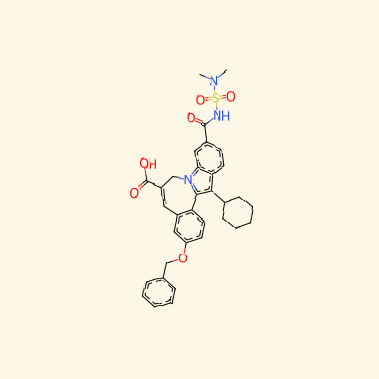 CN(C)S(=O)(=O)NC(=O)c1ccc2c(C3CCCCC3)c3n(c2c1)CC(C(=O)O)=Cc1cc(OCc2ccccc2)ccc1-3